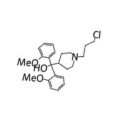 COc1ccccc1C(O)(c1ccccc1OC)C1CCN(CCCCl)CC1